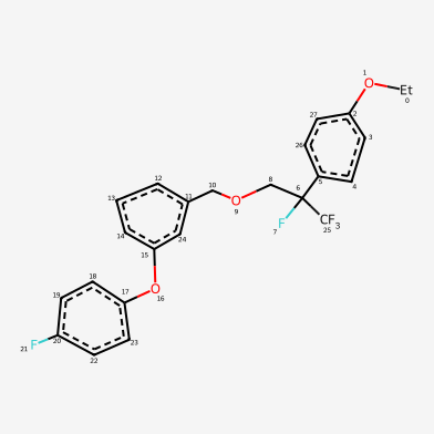 CCOc1ccc(C(F)(COCc2cccc(Oc3ccc(F)cc3)c2)C(F)(F)F)cc1